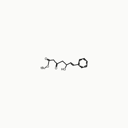 CC(C)(C)OC(=O)CC(=O)CC(O)C=Cc1ccccc1